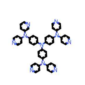 c1cncc(N(c2ccncc2)c2ccc(N(c3ccc(N(c4ccncc4)c4ccncc4)cc3)c3ccc(N(c4ccncc4)c4ccncc4)cc3)cc2)c1